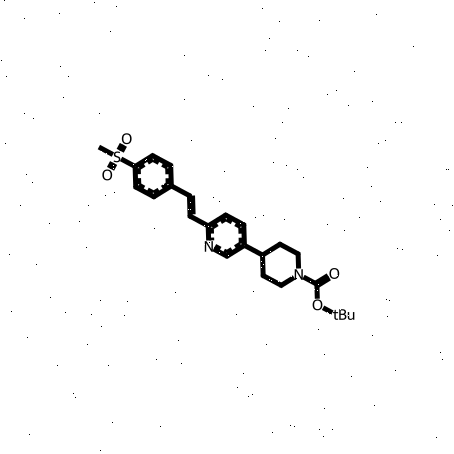 CC(C)(C)OC(=O)N1CCC(c2ccc(/C=C/c3ccc(S(C)(=O)=O)cc3)nc2)CC1